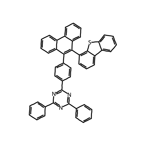 c1ccc(-c2nc(-c3ccccc3)nc(-c3ccc(-c4c(-c5cccc6c5sc5ccccc56)c5ccccc5c5ccccc45)cc3)n2)cc1